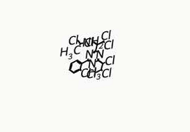 CC(N)Cl.Cc1ccccc1-c1nc(C(Cl)C(Cl)Cl)nc(C(Cl)C(Cl)Cl)n1